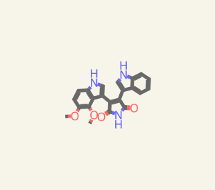 COc1ccc2[nH]cc(C3=C(c4c[nH]c5ccccc45)C(=O)NC3=O)c2c1OC